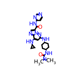 CN(C)C(=O)N[C@H]1CC[C@H](Nc2cc(NC3CC3)c3ncc(C(=O)Nc4ccncn4)n3n2)CC1